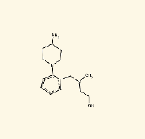 CN(CCO)Cc1ccccc1N1CCC(N)CC1